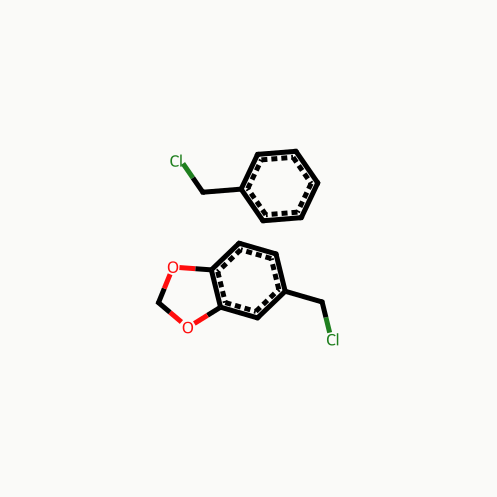 ClCc1ccc2c(c1)OCO2.ClCc1ccccc1